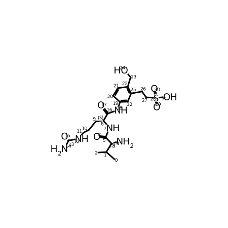 CC(C)[C@H](N)C(=O)N[C@@H](CCCNC(N)=O)C(=O)Nc1ccc(CO)c(CCS(=O)(=O)O)c1